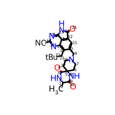 CC1NC(=O)C2(CCN(Cc3cc4c5c(nc(C#N)nc5c3CC(C)(C)C)NC4=O)CC2)NC1=O